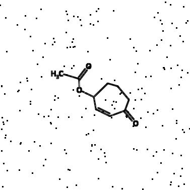 CC(=O)OC1C=CC(=O)CCC1